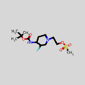 CC(C)(C)OC(=O)NC1CCN(CCOS(C)(=O)=O)CC1F